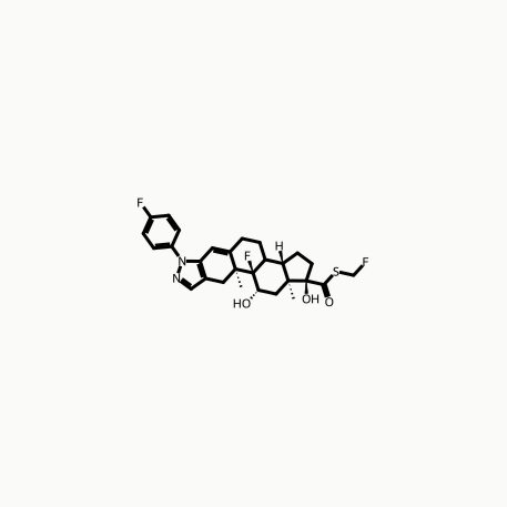 C[C@]12Cc3cnn(-c4ccc(F)cc4)c3C=C1CCC1[C@@H]3CC[C@](O)(C(=O)SCF)[C@@]3(C)C[C@H](O)[C@@]12F